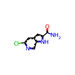 NC(=O)c1cc2cc(Cl)ncc2[nH]1